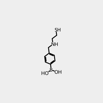 OB(O)c1ccc(CNCCS)cc1